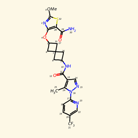 COc1nc(OC2CC3(CC(NC(=O)c4cnn(-c5ccc(C(F)(F)F)cn5)c4C)C3)C2)c(C(N)=O)s1